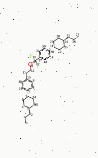 CCC[C@H]1CC[C@H](c2ccc(CCOC(F)(F)c3ccc([C@H]4CC[C@H](CCC)CC4)cc3)cc2)CC1